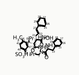 CC(C)C[C@@H](C(=O)NN(CC(C)C)C(=O)[C@H](N)Cc1ccccc1)[C@H](CC=Cc1ccccc1)C(=O)NO.Cc1ccc(S(=O)(=O)O)cc1